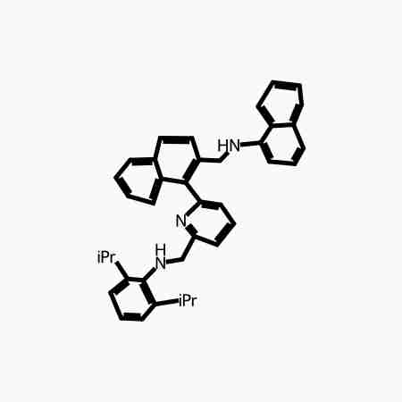 CC(C)c1cccc(C(C)C)c1NCc1cccc(-c2c(CNc3cccc4ccccc34)ccc3ccccc23)n1